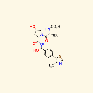 Cc1ncsc1-c1ccc(C(O)NC(=O)C2CC(O)CN2C(=O)C(NC(=O)O)C(C)(C)C)cc1